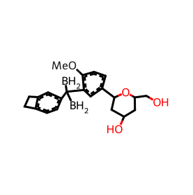 BC(B)(c1ccc2c(c1)CC2)c1cc(C2CC(O)CC(CO)O2)ccc1OC